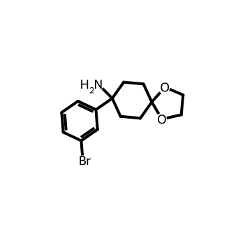 NC1(c2cccc(Br)c2)CCC2(CC1)OCCO2